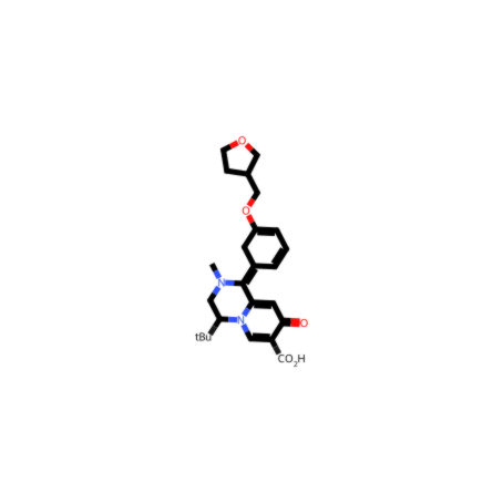 CN1CC(C(C)(C)C)n2cc(C(=O)O)c(=O)cc2/C1=C1\C=CC=C(OCC2CCOC2)C1